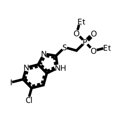 CCOP(=O)(CSc1nc2nc(I)c(Cl)cc2[nH]1)OCC